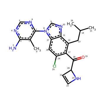 Cc1c(N)ncnc1-n1cnc2c(CC(C)C)c(C(=O)C3C=CN3)c(Cl)cc21